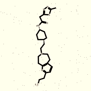 Cc1nnc(CC(=O)N[C@H]2CC[C@H](CCN3CCc4ccc(CCC(F)(F)F)nc4CC3)CC2)s1